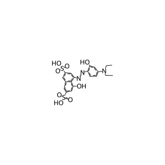 CCN(CC)c1ccc(N=Nc2cc(S(=O)(=O)O)cc3cc(S(=O)(=O)O)cc(O)c23)c(O)c1